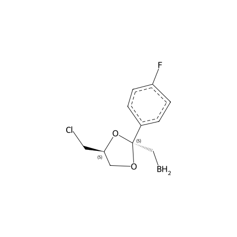 BC[C@]1(c2ccc(F)cc2)OC[C@@H](CCl)O1